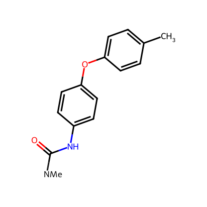 CNC(=O)Nc1ccc(Oc2ccc(C)cc2)cc1